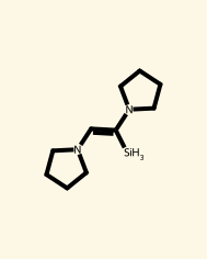 [SiH3]C(=CN1CCCC1)N1CCCC1